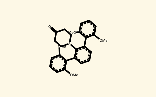 COc1cccc(OC)c1-c1cccc(-c2c(OC)cccc2OC)c1P1CCC(=O)CC1